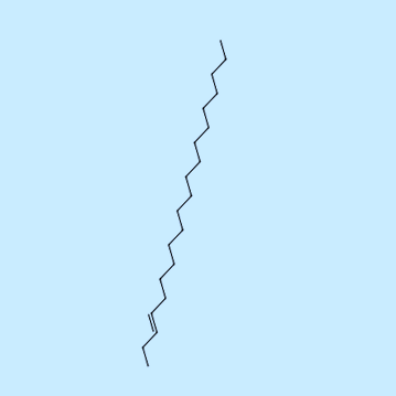 CCC=CCCCCCCCCCCCCCCCC